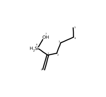 C=C(CCCC)[SiH2]O